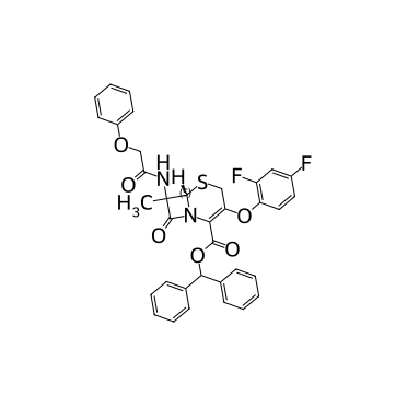 CC1(NC(=O)COc2ccccc2)C(=O)N2C(C(=O)OC(c3ccccc3)c3ccccc3)=C(Oc3ccc(F)cc3F)CS[C@H]21